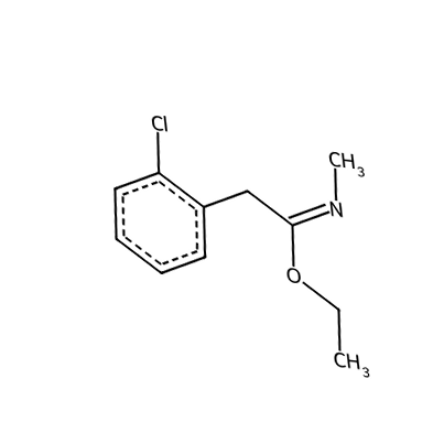 CCO/C(Cc1ccccc1Cl)=N/C